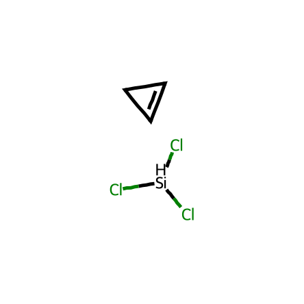 C1=CC1.Cl[SiH](Cl)Cl